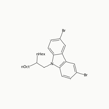 CCCCCCCCC(CCCCCC)Cn1c2c[c]c(Br)cc2c2cc(Br)[c]cc21